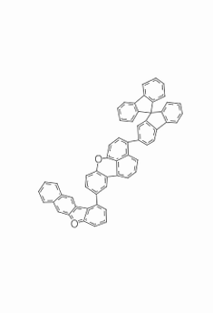 c1ccc2c(c1)-c1ccccc1C21c2ccccc2-c2ccc(-c3ccc4c5c(cccc35)-c3cc(-c5cccc6oc7cc8ccccc8cc7c56)ccc3O4)cc21